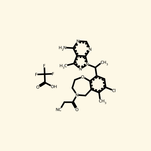 Cc1c(Cl)cc(C(C)n2nc(C)c3c(N)ncnc32)c2c1CN(C(=O)CC#N)CCO2.O=C(O)C(F)(F)F